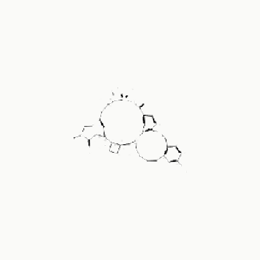 C[C@@H]1[C@@H](C)C/C=C/[C@](O)([C@H]2CCN(C)C2=O)[C@@H]2CC[C@H]2CN2CCCCc3cc(Cl)ccc3COc3ccc(cc32)C(=O)NS1(=O)=O